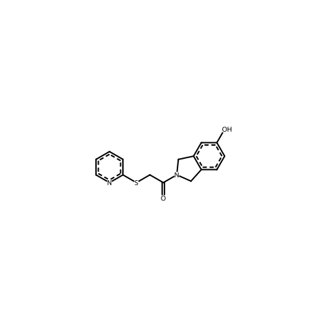 O=C(CSc1ccccn1)N1Cc2ccc(O)cc2C1